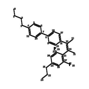 CCCCc1ccc(-c2ccc(/C(C)=C(/C)c3c(F)cc(CCC)cc3F)cc2)cc1